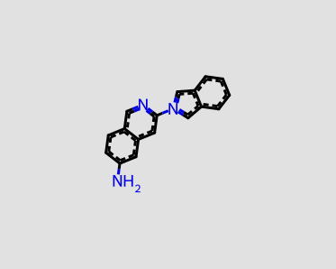 Nc1ccc2cnc(-n3cc4ccccc4c3)cc2c1